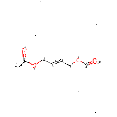 CC(=O)OCC=CCOC=O